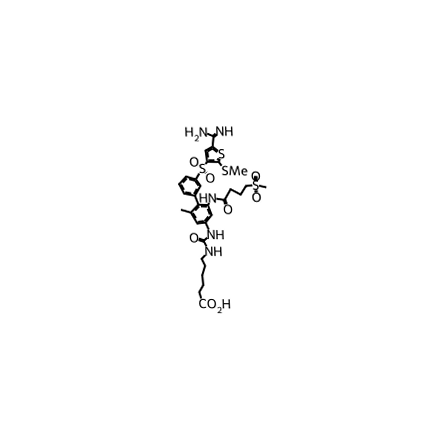 CSc1sc(C(=N)N)cc1S(=O)(=O)c1cccc(-c2c(C)cc(NC(=O)NCCCCCC(=O)O)cc2NC(=O)CCCS(C)(=O)=O)c1